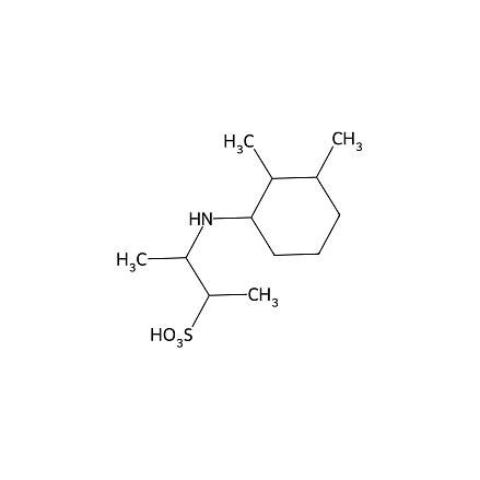 CC1CCCC(NC(C)C(C)S(=O)(=O)O)C1C